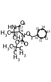 CC(C)(C)OC(=O)N(OCc1ccccc1)C1C(=O)NC1(C)C